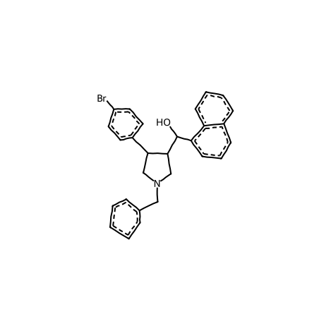 OC(c1cccc2ccccc12)C1CN(Cc2ccccc2)CC1c1ccc(Br)cc1